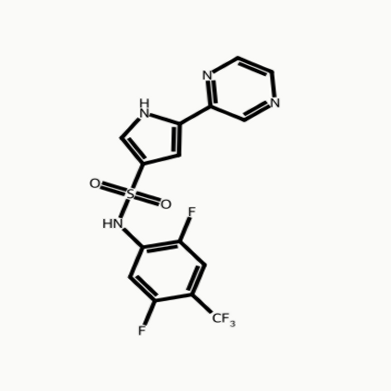 O=S(=O)(Nc1cc(F)c(C(F)(F)F)cc1F)c1c[nH]c(-c2cnccn2)c1